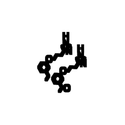 CC(=O)c1cccc(OCCCc2c[nH]cn2)c1.CCc1cccc(OCCCc2c[nH]cn2)c1